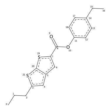 CCCc1cc2cc(C(=O)Oc3ccc(CC)cc3)sc2s1